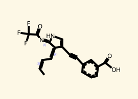 C\C=C/C=C1/C(C#Cc2cccc(C(=O)O)c2)=CN/C1=N\C(=O)C(F)(F)F